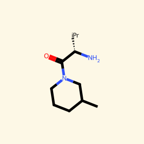 CC1CCCN(C(=O)[C@@H](N)C(C)C)C1